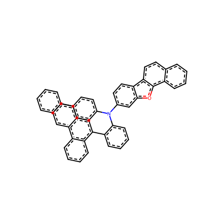 c1ccc(-c2ccc(N(c3ccc4c(c3)oc3c5ccccc5ccc43)c3ccccc3-c3cc4ccccc4c4ccccc34)cc2)cc1